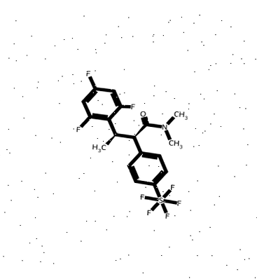 C[C@@H](c1c(F)cc(F)cc1F)[C@@H](C(=O)N(C)C)c1ccc(S(F)(F)(F)(F)F)cc1